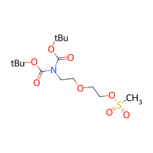 CC(C)(C)OC(=O)N(CCOCCOS(C)(=O)=O)C(=O)OC(C)(C)C